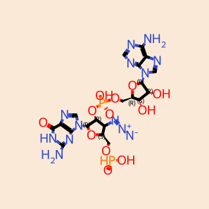 [N-]=[N+]=NC1[C@@H](OP(=O)(O)OC[C@H]2O[C@@H](n3cnc4c(N)ncnc43)[C@H](O)[C@@H]2O)[C@H](n2cnc3c(=O)[nH]c(N)nc32)O[C@@H]1CO[PH](=O)O